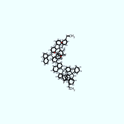 C=Cc1ccc(CC2(c3c(F)c(F)c(F)c(F)c3F)c3ccccc3-c3ccc(N(c4cccc5ccccc45)c4ccc(-c5ccc(N(c6ccc7c(c6)C(Cc6ccc(C=C)cc6)(c6c(F)c(F)c(F)c(F)c6F)c6ccccc6-7)c6cccc7ccccc67)c6ccccc56)c5ccccc45)cc32)cc1